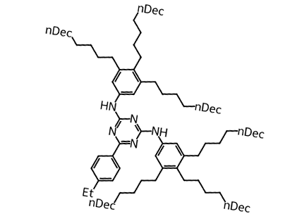 [CH2]Cc1ccc(-c2nc(Nc3cc(CCCCCCCCCCCCCC)c(CCCCCCCCCCCCCC)c(CCCCCCCCCCCCCC)c3)nc(Nc3cc(CCCCCCCCCCCCCC)c(CCCCCCCCCCCCCC)c(CCCCCCCCCCCCCC)c3)n2)cc1